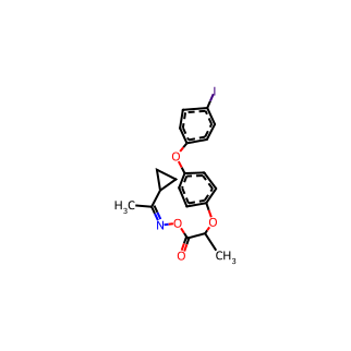 CC(=NOC(=O)C(C)Oc1ccc(Oc2ccc(I)cc2)cc1)C1CC1